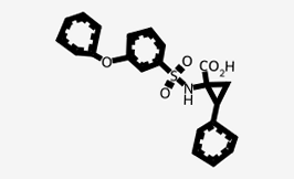 O=C(O)C1(NS(=O)(=O)c2cccc(Oc3ccccc3)c2)CC1c1ccccc1